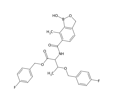 Cc1c(C(=O)NC(C(=O)OCc2ccc(F)cc2)C(C)OCc2ccc(F)cc2)ccc2c1B(O)OC2